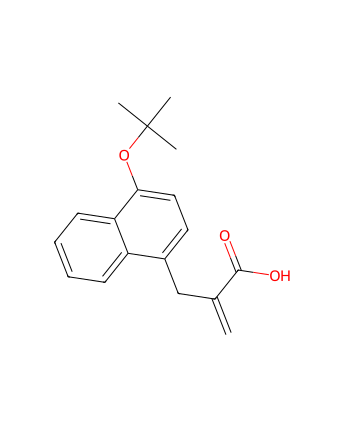 C=C(Cc1ccc(OC(C)(C)C)c2ccccc12)C(=O)O